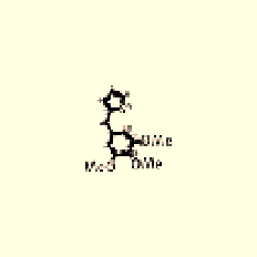 COc1cc(Cc2cccs2)cc(OC)c1OC